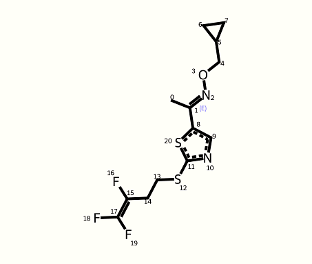 C/C(=N\OCC1CC1)c1cnc(SCCC(F)=C(F)F)s1